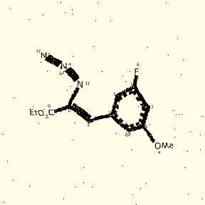 CCOC(=O)C(=Cc1cc(F)cc(OC)c1)N=[N+]=[N-]